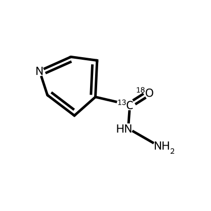 NN[13C](=[18O])c1ccncc1